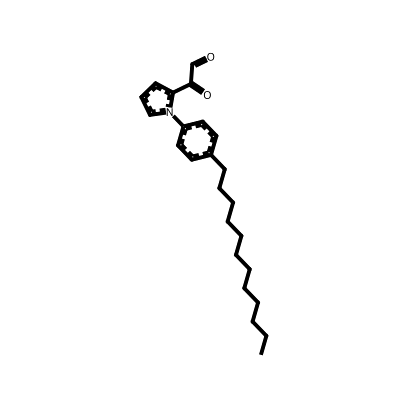 CCCCCCCCCCCCc1ccc(-n2cccc2C(=O)C=O)cc1